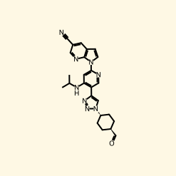 CC(C)Nc1cc(-n2ccc3cc(C#N)cnc32)ncc1-c1cn([C@H]2CC[C@H](C=O)CC2)nn1